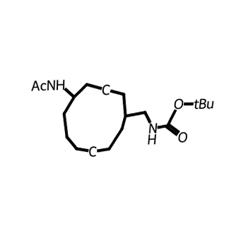 CC(=O)NC1CCCCCCC(CNC(=O)OC(C)(C)C)CCC1